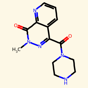 Cn1nc(C(=O)N2CCNCC2)c2cccnc2c1=O